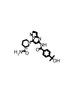 CC(C)(O)c1ccc(C(=O)Nc2cc(N3CCC[C@@H](C(N)=O)C3)n3nccc3n2)cc1